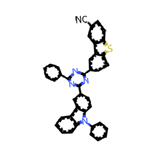 N#Cc1ccc2sc3ccc(-c4nc(-c5ccccc5)nc(-c5ccc6c(c5)c5ccccc5n6-c5ccccc5)n4)cc3c2c1